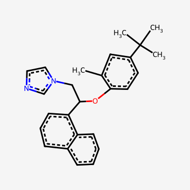 Cc1cc(C(C)(C)C)ccc1OC(Cn1ccnc1)c1cccc2ccccc12